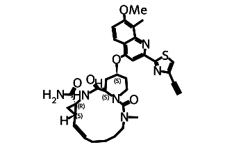 C#Cc1csc(-c2cc(O[C@H]3CCN4C(=O)N(C)CCCCC=C[C@@H]5C[C@@]5(C(N)=O)NC(=O)[C@@H]4C3)c3ccc(OC)c(C)c3n2)n1